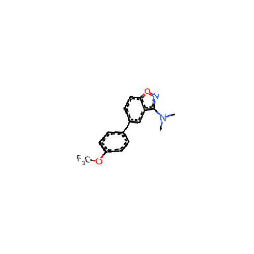 CN(C)c1noc2ccc(-c3ccc(OC(F)(F)F)cc3)cc12